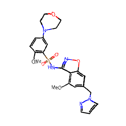 COc1ccc(N2CCOCC2)cc1S(=O)(=O)Nc1noc2cc(Cn3cccn3)cc(OC)c12